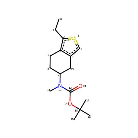 CCc1scc2c1CCC(N(C)C(=O)OC(C)(C)C)C2